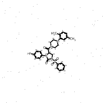 Cc1ccc(C)c(N2CCN(C(=O)C3CN(S(=O)(=O)c4ccccc4)C(=O)N3c3ccc(F)cc3)CC2)c1